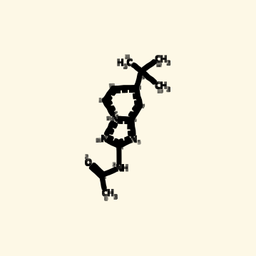 CC(=O)Nc1nc2cc(C(C)(C)C)ccn2n1